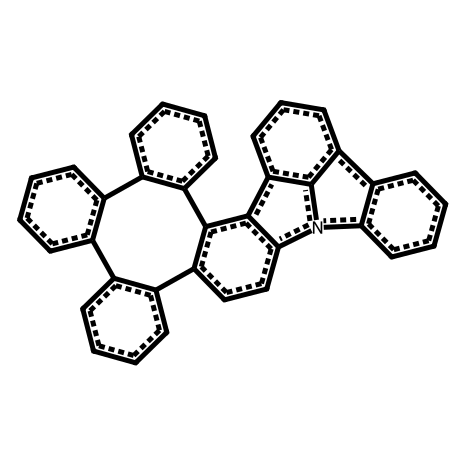 c1ccc2c(c1)-c1ccccc1-c1ccc3c(c1-c1ccccc1-2)c1cccc2c4ccccc4n3c21